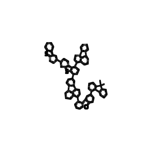 CC1(C)c2ccccc2-c2c(-c3ccc4oc5cccc(-c6ccc7c8c(cccc68)-c6ccc(-c8ccc(-c9ccc%10c%11c(cccc9%11)-c9ccccc9-%10)c9c8sc8cc(-c%10ccc%11sc%12ccccc%12c%11c%10)ccc89)cc6-7)c5c4c3)cccc21